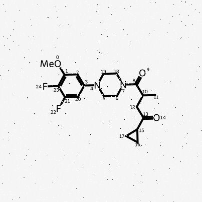 COc1cc(N2CCN(C(=O)C(C)CC(=O)C3CC3)CC2)cc(F)c1F